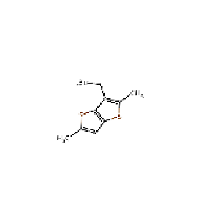 Cc1cc2sc(C)c(CC(C)(C)C)c2s1